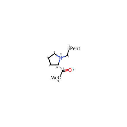 CCCCCCN1CCC[C@H]1C(=O)OC